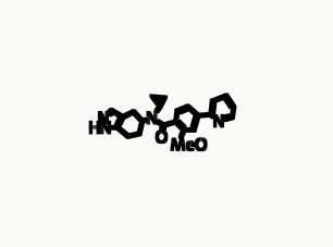 COc1cc(-c2ccccn2)ccc1C(=O)N(C1CC1)C1CCc2[nH]ncc2C1